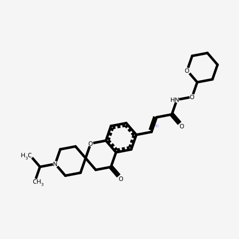 CC(C)N1CCC2(CC1)CC(=O)c1cc(/C=C/C(=O)NOC3CCCCO3)ccc1O2